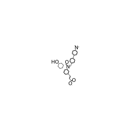 COC(=O)/C=C/c1cccc(N(Cc2ccc(-c3ccc(N(C)C)cc3)cc2)C(=O)[C@@H]2CCC[C@H](O)C2)c1